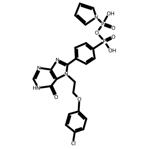 O=c1[nH]cnc2nc(-c3ccc(P(=O)(O)OP(=O)(O)n4cccc4)cc3)n(CCOc3ccc(Cl)cc3)c12